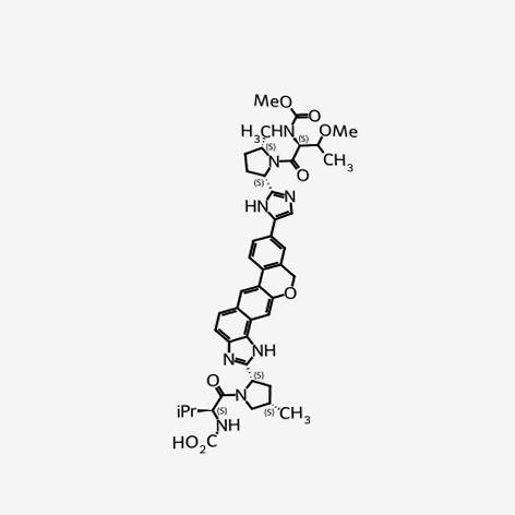 COC(=O)N[C@H](C(=O)N1[C@@H](C)CC[C@H]1c1ncc(-c2ccc3c(c2)COc2cc4c(ccc5nc([C@@H]6C[C@H](C)CN6C(=O)[C@@H](NC(=O)O)C(C)C)[nH]c54)cc2-3)[nH]1)C(C)OC